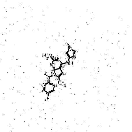 C[C@H](c1ncc(F)cn1)n1c(C(F)(F)F)cc2c(Nc3cn(C)cn3)nc(N)nc21